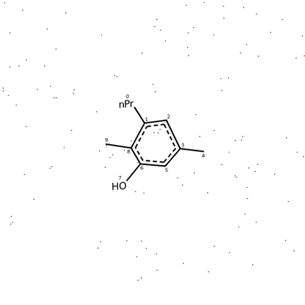 CCCc1cc(C)cc(O)c1C